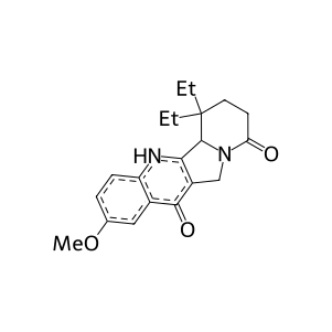 CCC1(CC)CCC(=O)N2Cc3c([nH]c4ccc(OC)cc4c3=O)C21